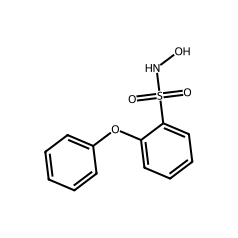 O=S(=O)(NO)c1ccccc1Oc1ccccc1